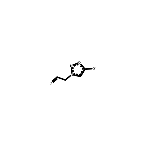 O=[C]C[n+]1cc([O-])on1